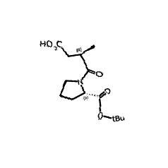 C[C@H](CC(=O)O)C(=O)N1CCC[C@H]1C(=O)OC(C)(C)C